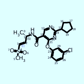 C[C@@H](/C=C/S(C)(=O)=O)NC(=O)c1cnc(C2CCCC2)nc1Oc1cccc(Cl)c1